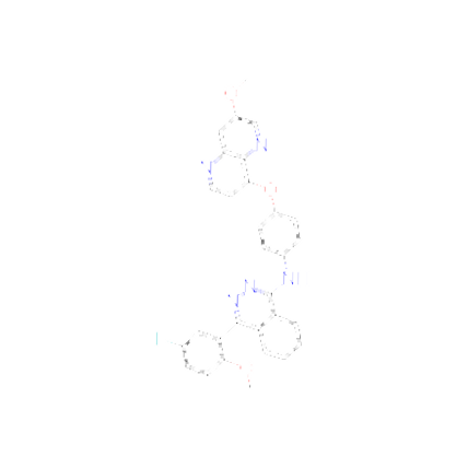 COc1cnc2c(Oc3ccc(Nc4nnc(-c5cc(F)ccc5OC)c5ccccc45)cc3)ccnc2c1